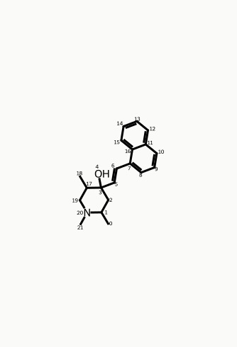 CC1CC(O)(/C=C/c2cccc3ccccc23)C(C)CN1C